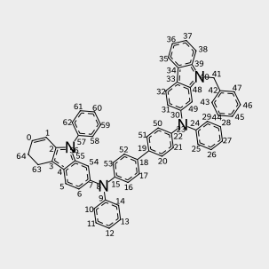 C1=Cc2c(c3ccc(N(c4ccccc4)c4ccc(-c5ccc(N(c6ccccc6)c6ccc7c8ccccc8n(Cc8ccccc8)c7c6)cc5)cc4)cc3n2-c2ccccc2)CC1